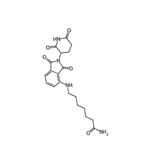 NC(=O)CCCCCCNc1cccc2c1C(=O)N(C1CCC(=O)NC1=O)C2=O